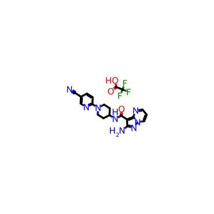 N#Cc1ccc(N2CCC(NC(=O)c3c(N)nn4cccnc34)CC2)nc1.O=C(O)C(F)(F)F